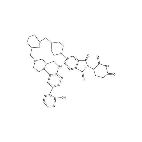 O=C1CCC(N2C(=O)c3ccc(N4CCC(CN5CCCC(CN6CCN7c8cc(-c9ccccc9O)nnc8NCC7C6)C5)CC4)cc3C2=O)C(=O)N1